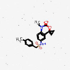 CCN1C(=O)OC2(CC2)c2cc(NS(=O)(=O)Cc3ccc(C)cc3)ccc21